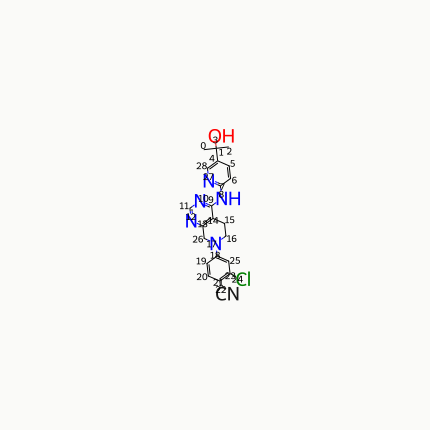 CC(C)(O)c1ccc(Nc2ncnc3c2CCN(c2ccc(C#N)c(Cl)c2)C3)nc1